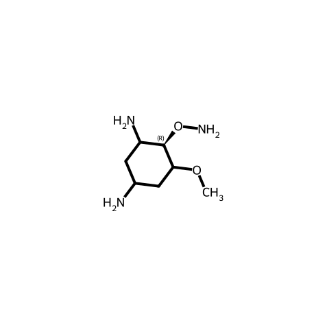 COC1CC(N)CC(N)[C@H]1ON